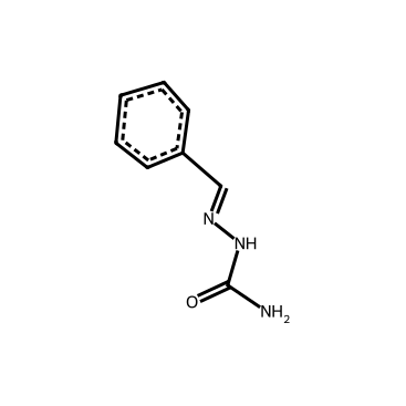 NC(=O)NN=Cc1ccccc1